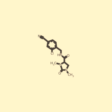 CN1CC(C(=O)NCc2ccc(C#N)cc2Cl)N(C)C1=O